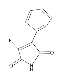 O=C1NC(=O)C(c2ccccc2)=C1F